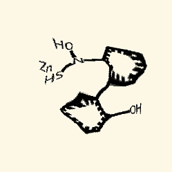 Oc1ccccc1-c1ccccc1N(O)S.[Zn]